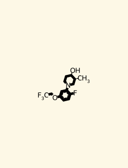 C[C@@H]1CN(c2cc(OCC(F)(F)F)ccc2F)CC[C@@H]1O